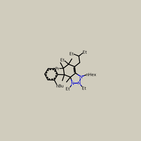 CCCCCCN1C2=C(CC(CC)CC)C(C)(CC)C(C)(CCC)C(C)(c3ccccc3CCCC)C2(C)N(CC)N1CC